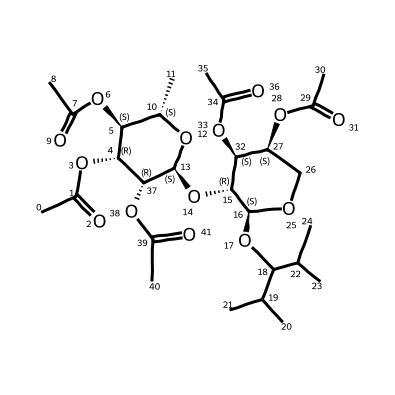 CC(=O)O[C@@H]1[C@@H](OC(C)=O)[C@H](C)O[C@@H](O[C@H]2[C@H](OC(C(C)C)C(C)C)OC[C@H](OC(C)=O)[C@@H]2OC(C)=O)[C@@H]1OC(C)=O